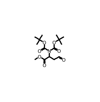 COC(=O)C(CC=O)N(C(=O)OC(C)(C)C)C(=O)OC(C)(C)C